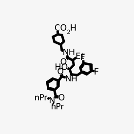 CCCN(CCC)C(=O)c1cccc(C(=O)NC(Cc2cc(F)cc(F)c2)C(O)CC(CC)C(=O)NCC2CCC(C(=O)O)CC2)c1